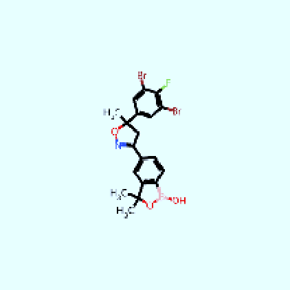 CC1(C)OB(O)c2ccc(C3=NOC(C)(c4cc(Br)c(F)c(Br)c4)C3)cc21